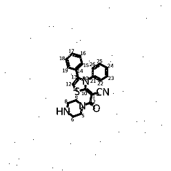 N#CC(C(=O)N1CCNCC1)=C1SC=C(c2ccccc2)N1c1ccccc1